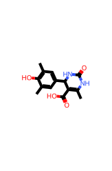 CC1=C(C(=O)O)C(c2cc(C)c(O)c(C)c2)NC(=O)N1